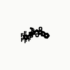 CCn1c(C=C2C(=O)c3cc4ccccc4cc3C2=O)cc2oc(-c3c(F)c(F)c(F)c(F)c3F)cc21